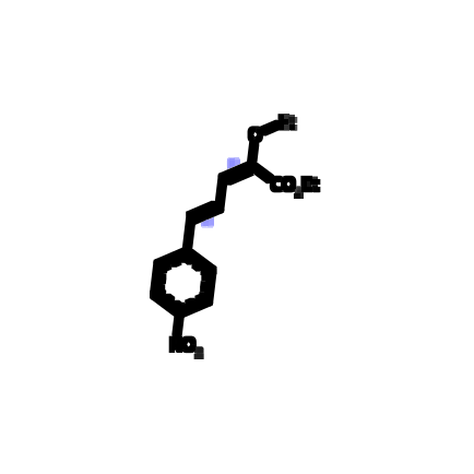 CCOC(=O)/C(=C\C=C\c1ccc([N+](=O)[O-])cc1)OCC